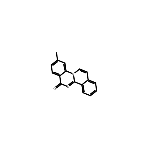 Cc1ccc2c(=O)nc3c4ccccc4ccn3c2c1